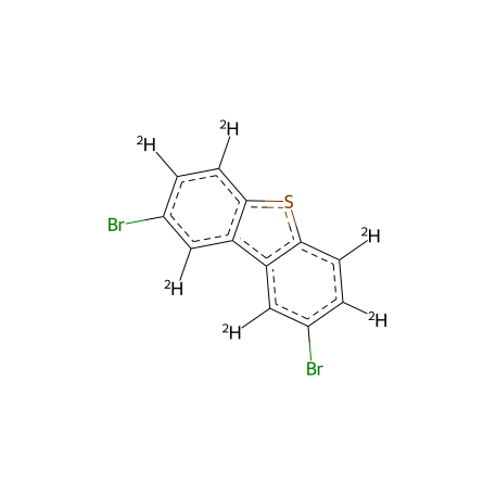 [2H]c1c(Br)c([2H])c2c(sc3c([2H])c([2H])c(Br)c([2H])c32)c1[2H]